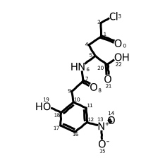 O=C(CCl)CC(NC(=O)Cc1cc([N+](=O)[O-])ccc1O)C(=O)O